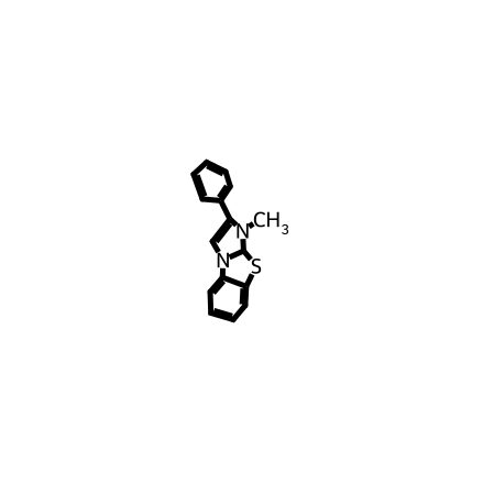 CN1C(c2ccccc2)=CN2c3ccccc3SC12